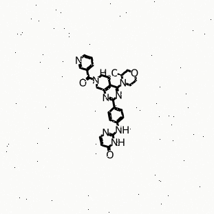 C[C@H]1COCCN1c1nc(-c2ccc(Nc3nccc(=O)[nH]3)cc2)nc2c1CCN(C(=O)c1cccnc1)C2